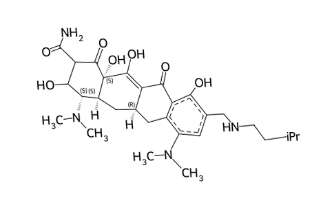 CC(C)CCNCc1cc(N(C)C)c2c(c1O)C(=O)C1=C(O)[C@]3(O)C(=O)C(C(N)=O)C(O)[C@@H](N(C)C)[C@@H]3C[C@@H]1C2